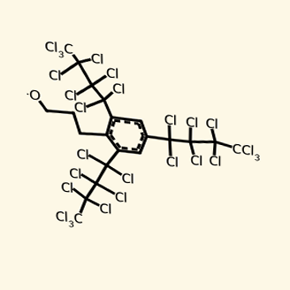 [O]CCCc1c(C(Cl)(Cl)C(Cl)(Cl)C(Cl)(Cl)C(Cl)(Cl)Cl)cc(C(Cl)(Cl)C(Cl)(Cl)C(Cl)(Cl)C(Cl)(Cl)Cl)cc1C(Cl)(Cl)C(Cl)(Cl)C(Cl)(Cl)C(Cl)(Cl)Cl